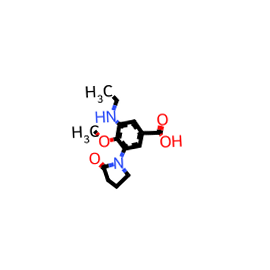 CCNc1cc(C(=O)O)cc(N2CCCC2=O)c1OC